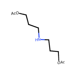 CC(=O)OCCCNCCCOC(C)=O